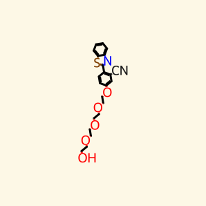 N#Cc1cc(OCCOCCOCCOCCO)ccc1-c1nc2ccccc2s1